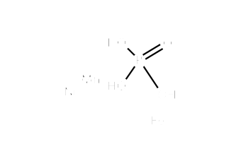 O=P(O)(O)O.[Fe].[Mn].[Ni]